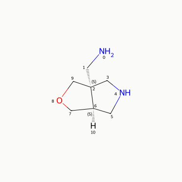 NC[C@]12CNC[C@H]1COC2